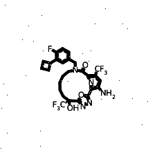 Nc1cc(C(F)(F)F)c2nc1-c1nnc(o1)[C@@](O)(C(F)(F)F)CCCCCN(Cc1ccc(F)c(C3CCC3)c1)C2=O